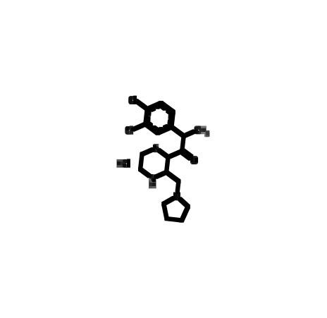 CC(C(=O)C1SCCNC1CN1CCCC1)c1ccc(Cl)c(Cl)c1.Cl